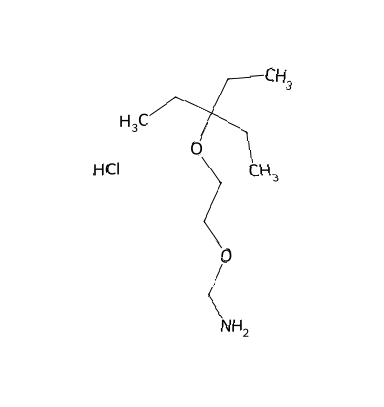 CCC(CC)(CC)OCCOCN.Cl